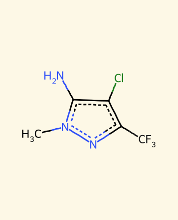 Cn1nc(C(F)(F)F)c(Cl)c1N